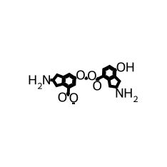 COC(=O)c1cc(OCOC(=O)c2ccc(O)c3c2CC(N)C3)cc2c1CC(N)C2